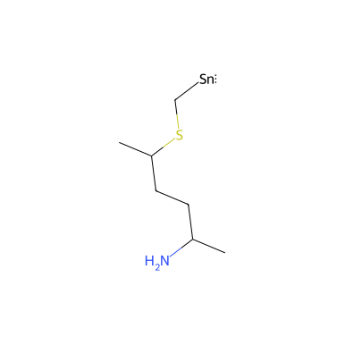 CC(N)CCC(C)S[CH2][Sn]